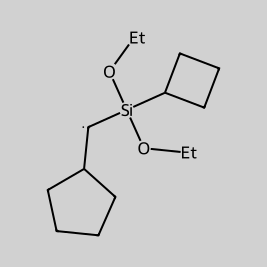 CCO[Si]([CH]C1CCCC1)(OCC)C1CCC1